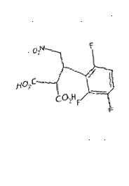 O=C(O)C(C(=O)O)C(C[N+](=O)[O-])c1c(F)ccc(F)c1F